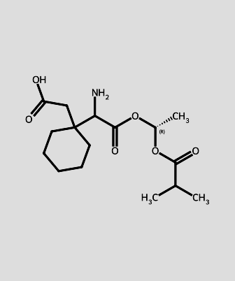 CC(C)C(=O)O[C@@H](C)OC(=O)C(N)C1(CC(=O)O)CCCCC1